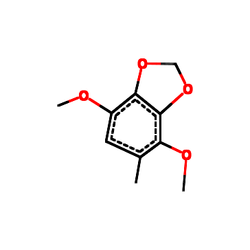 COc1cc(C)c(OC)c2c1OCO2